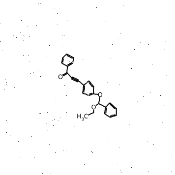 CCOC(Oc1ccc(C#CC(=O)c2ccccc2)cc1)c1ccccc1